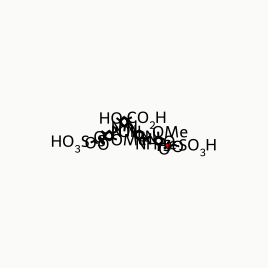 COc1cc(S(=O)(=O)CCOS(=O)(=O)O)c(C)cc1N=Nc1ccc(N=Nc2c(C(=O)O)cc(O)c(N=Nc3cc(C)c(S(=O)(=O)CCOS(=O)(=O)O)cc3OC)c2O)cc1NC(C)=O